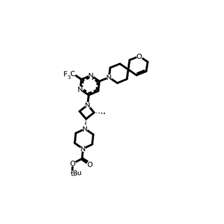 C[C@@H]1[C@H](N2CCN(C(=O)OC(C)(C)C)CC2)CN1c1cc(N2CCC3(C=CCOC3)CC2)nc(C(F)(F)F)n1